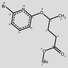 CC(CCC(=O)OC(C)(C)C)Oc1cccc(Br)n1